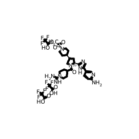 CS(=O)(=O)N1CCC([C@H]2C[C@@H](c3ncc(-c4ccc(N)nc4)[nH]3)N(C(=O)C3CCN(C(=N)N)CC3)C2)CC1.O=C(O)C(F)(F)F.O=C(O)C(F)(F)F.O=C(O)C(F)(F)F